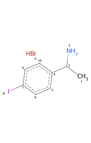 Br.CC(N)c1ccc(I)cc1